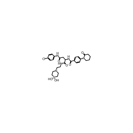 O=C(CC(NC(=O)c1ccc(N2CCCCC2=O)cc1)C(=O)NCCN1CCS(O)(O)CC1)Nc1ccc(Cl)cc1